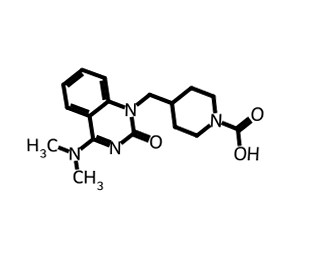 CN(C)c1nc(=O)n(CC2CCN(C(=O)O)CC2)c2ccccc12